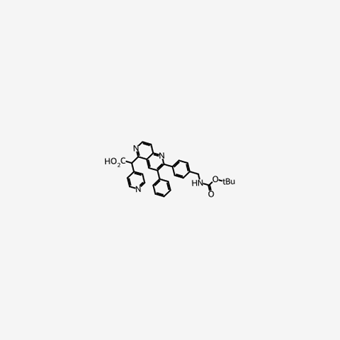 CC(C)(C)OC(=O)NCc1ccc(-c2nc3ccnc(C(C(=O)O)c4ccncc4)c3cc2-c2ccccc2)cc1